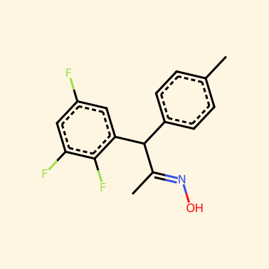 CC(=NO)C(c1ccc(C)cc1)c1cc(F)cc(F)c1F